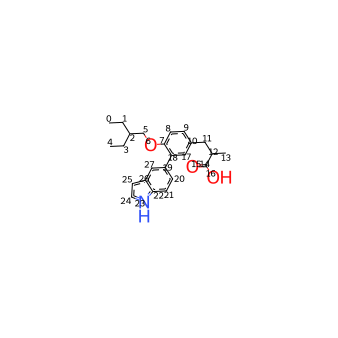 CCC(CC)COc1ccc(CC(C)C(=O)O)cc1-c1ccc2[nH]ccc2c1